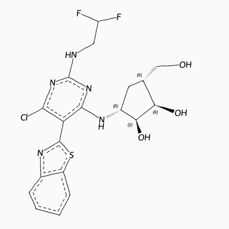 OC[C@H]1C[C@@H](Nc2nc(NCC(F)F)nc(Cl)c2-c2nc3ccccc3s2)[C@H](O)[C@@H]1O